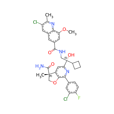 COc1cc(C(=O)NC[C@](O)(c2cc3c(c(-c4ccc(F)c(Cl)c4)n2)OC[C@]3(C)C(N)=O)C2CCC2)cc2cc(Cl)c(C)nc12